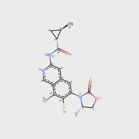 C[C@H]1COC(=O)N1c1cc2cc(NC(=O)[C@@H]3C[C@H]3C#N)ncc2c(Cl)c1F